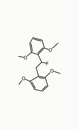 COc1cccc(OC)c1CC(F)c1c(OC)cccc1OC